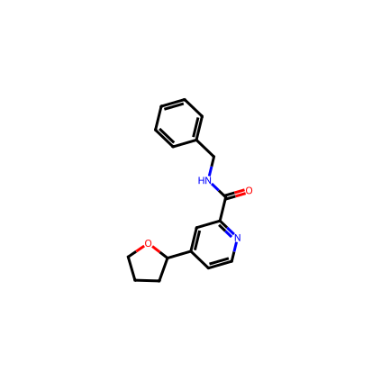 O=C(NCc1ccccc1)c1cc(C2CCCO2)ccn1